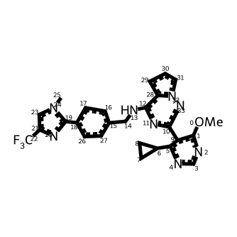 COc1ncnc(C2CC2)c1-c1nc(NCc2ccc(-c3nc(C(F)(F)F)cn3C)cc2)c2cccn2n1